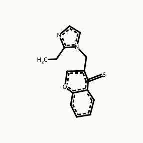 CCc1nccn1Cc1coc2ccccc2c1=S